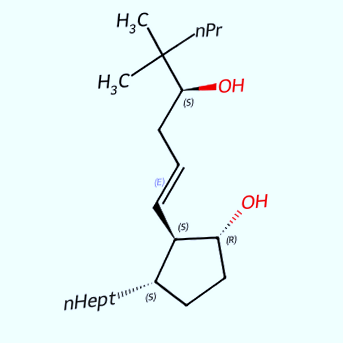 CCCCCCC[C@H]1CC[C@@H](O)[C@@H]1/C=C/C[C@H](O)C(C)(C)CCC